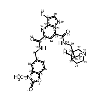 Cn1c(=O)oc2ccc(CNC(=O)c3cc(C(=O)NC[C@@H]4CN5CCC4CC5)n4ncc(F)c4n3)cc21